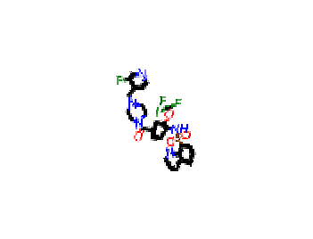 O=C(c1ccc(NS(=O)(=O)c2cccc3cccnc23)c(OC(F)(F)F)c1)N1CCN(Cc2ccncc2F)CC1